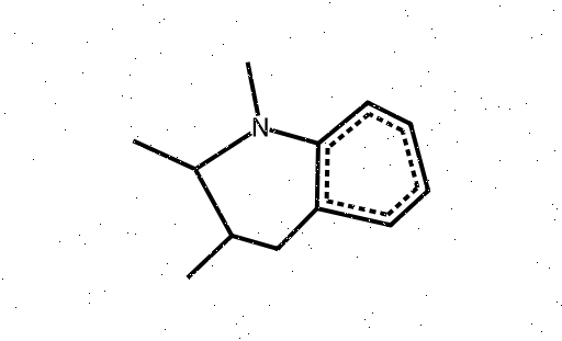 CC1Cc2ccccc2N(C)C1C